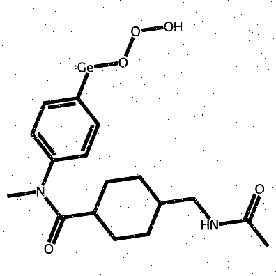 CC(=O)NCC1CCC(C(=O)N(C)c2cc[c]([Ge][O]OO)cc2)CC1